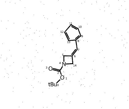 CC(C)(C)OC(=O)N1CC(=Cc2ccccc2)C1